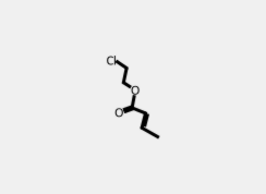 C/C=C/C(=O)OCCCl